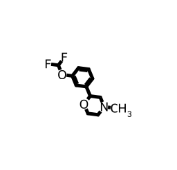 CN1CCOC(c2cccc(OC(F)F)c2)C1